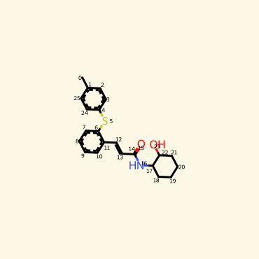 Cc1ccc(Sc2ccccc2/C=C/C(=O)NC2CCCCC2O)cc1